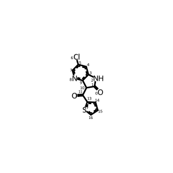 O=C1Nc2cc(Cl)cnc2C1C(=O)c1cccs1